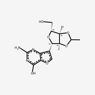 CC1O[C@@H]2[C@@H](CO)O[C@@H](c3coc4c(O)nc(N)nc34)[C@]2(C)O1